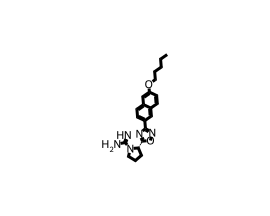 CCCCCOc1ccc2cc(-c3noc([C@@H]4CCCN4C(=N)N)n3)ccc2c1